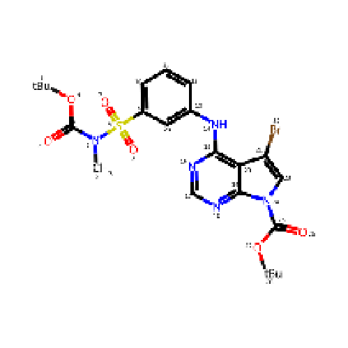 CN(C(=O)OC(C)(C)C)S(=O)(=O)c1cccc(Nc2ncnc3c2c(Br)cn3C(=O)OC(C)(C)C)c1